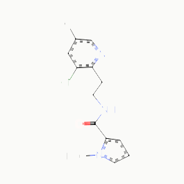 Cn1cccc1C(=O)NCCc1ncc(C(F)(F)F)cc1Cl